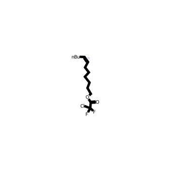 CCCC/C=C\CCCCCCOC(=O)C(F)(F)Cl